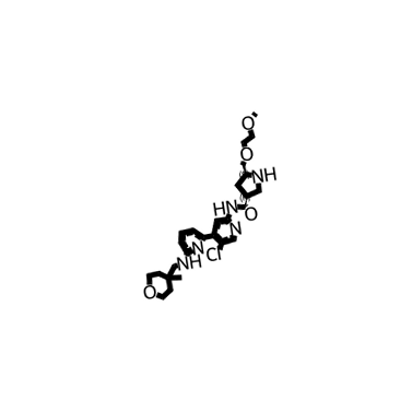 COCCOC[C@@H]1C[C@@H](C(=O)Nc2cc(-c3cccc(NCC4(C)CCOCC4)n3)c(Cl)cn2)CN1